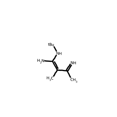 CC(=N)/C(C)=C(/N)NC(C)(C)C